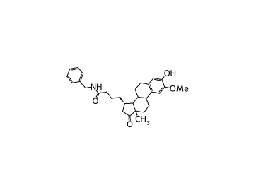 COc1cc2c(cc1O)CCC1C2CC[C@]2(C)C(=O)C[C@@H](CCCC(=O)NCc3ccccc3)C12